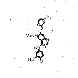 Bc1cc(Nc2ncnc3cc(OCC4CN(C)CCO4)c(OC)cc23)ccc1Cl